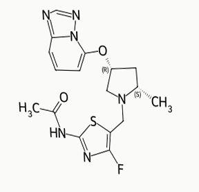 CC(=O)Nc1nc(F)c(CN2C[C@H](Oc3cccc4ncnn34)C[C@@H]2C)s1